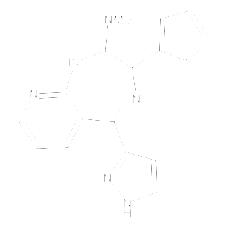 CNC1Nc2ncccc2C(c2cc[nH]n2)=NC1c1cccs1